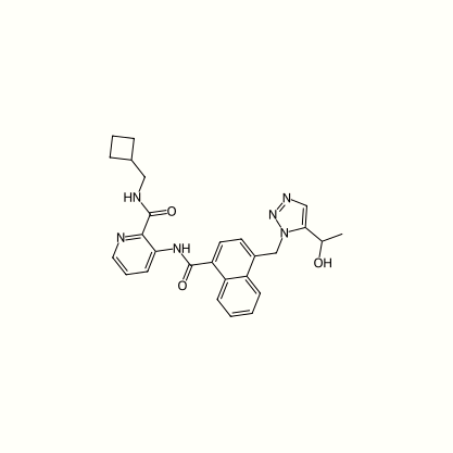 CC(O)c1cnnn1Cc1ccc(C(=O)Nc2cccnc2C(=O)NCC2CCC2)c2ccccc12